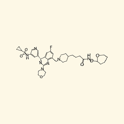 O=C(CCCC1CCN(Cc2cc(F)cc3c(-c4cncc(NS(=O)(=O)C5CC5)c4)nc(N4CCOCC4)nc23)CC1)NOC1CCCCO1